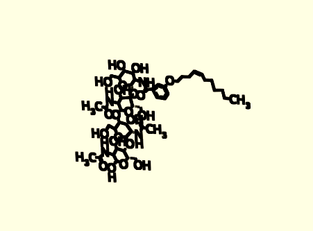 CCCCCC/C=C\CCCOc1cccc(C(=O)NC2C(O)[C@H](O)C(CO)O[C@H]2O[C@H]2C(O)C(NC(C)=O)[C@H](O[C@@H]3C(CO)O[C@@H](O[C@H]4C(O)C(NC(C)=O)C(O)O[C@H]4CO)[C@@H](NC(C)=O)C3O)O[C@H]2CO)c1